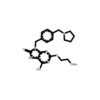 COCCOc1nc(O)c2[nH]c(=O)n(Cc3ccc(CN4CCCC4)cc3)c2n1